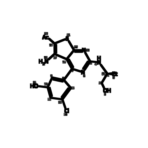 CC[C@@H](CO)Nc1nc(-c2cc(O)cc(Cl)c2)c2c(N)c(C(C)=O)sc2n1